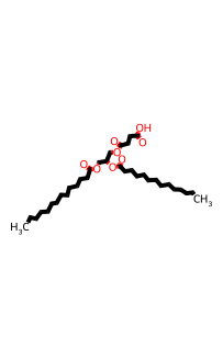 CCCCCCCCCCCCCC(=O)OCC(COC(=O)CCC(=O)O)OC(=O)CCCCCCCCCCCCC